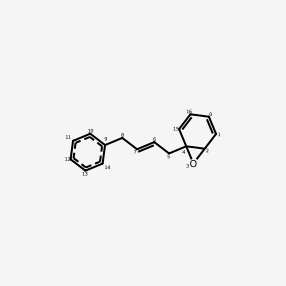 C1=CC2OC2(CC=CCc2ccccc2)C=C1